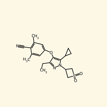 CCc1nn(C2CS(=O)(=O)C2)c(C2CC2)c1Oc1cc(C)c(C#N)c(C)c1